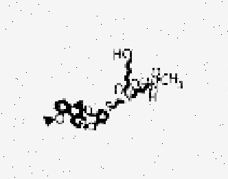 CC(=O)NCCCCN(CCCSc1ccc(Cl)c(COC2(c3cnccc3-c3ccccc3OC3CC3)CC2)c1)C(=O)C(O)CCCCO